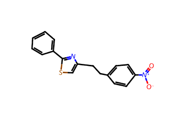 O=[N+]([O-])c1ccc(CCc2csc(-c3ccccc3)n2)cc1